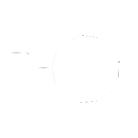 CCC(=O)OC1CCCCCCC(C)(C)CCCCC1